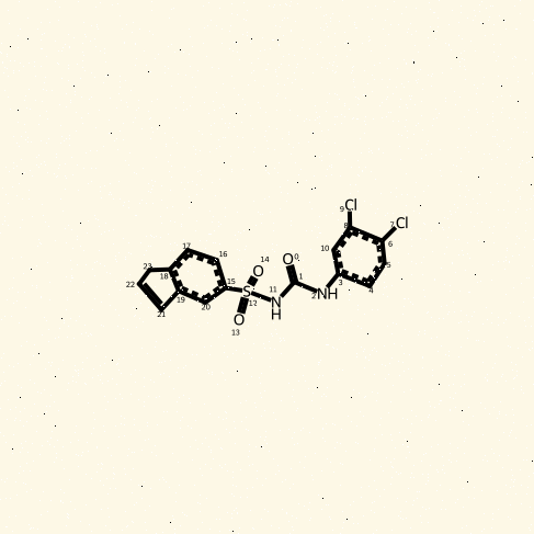 O=C(Nc1ccc(Cl)c(Cl)c1)NS(=O)(=O)c1ccc2c(c1)C=CC2